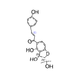 CC(C)(O)[C@H]1Oc2ccc(C(=O)/C=C/c3ccc(O)cc3)c(O)c2[C@@H]1O